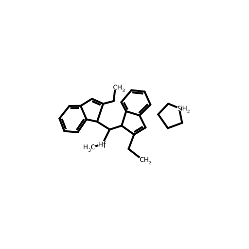 C1CC[SiH2]C1.CCC1=Cc2ccccc2C1[CH]([Hf][CH3])C1C(CC)=Cc2ccccc21